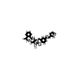 CC(C)c1ccccc1-c1ncc2c(n1)n(Cc1cccc(OCC3CCOC3)c1)c(=O)n2C